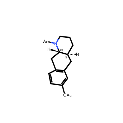 CC(=O)Oc1ccc2c(c1)C[C@@H]1CCCN(C(C)=O)[C@H]1C2